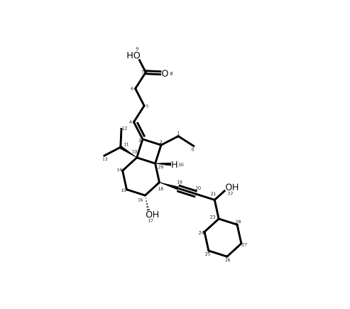 CCC1C(=CCCC(=O)O)[C@@]2(C(C)C)CC[C@@H](O)[C@H](C#CC(O)C3CCCCC3)[C@@H]12